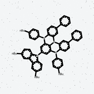 CCCCc1ccc(N2c3ccc(-c4ccccc4)cc3B3c4cc(-c5ccccc5)ccc4N(c4ccc(CCCC)cc4)c4cc(-n5c6ccc(CCCC)cc6c6cc(CCCC)ccc65)cc2c43)cc1